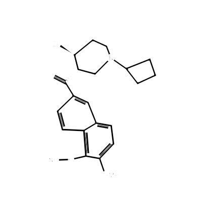 CC[C@H]1CCN(C2CCC2)C[C@@H]1C(=O)c1ccc2c(CC#N)c(OC)ccc2c1